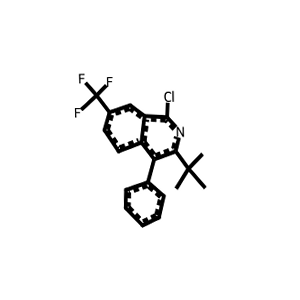 CC(C)(C)c1nc(Cl)c2cc(C(F)(F)F)ccc2c1-c1ccccc1